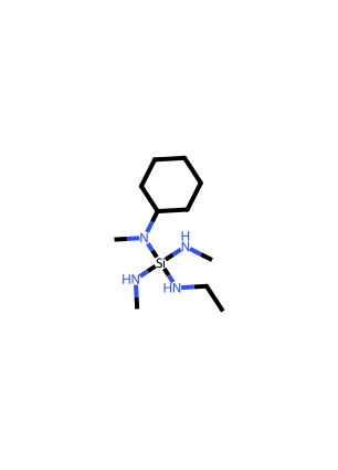 CCN[Si](NC)(NC)N(C)C1CCCCC1